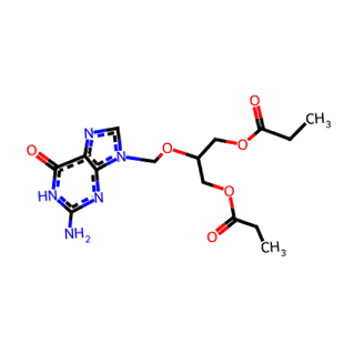 CCC(=O)OCC(COC(=O)CC)OCn1cnc2c(=O)[nH]c(N)nc21